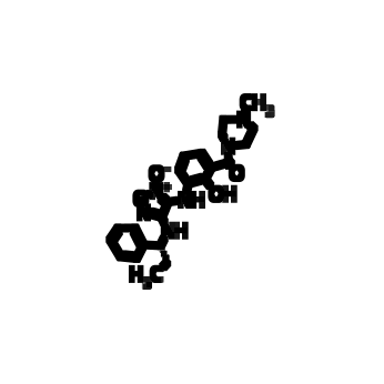 CC[C@@H](Nc1no[n+]([O-])c1Nc1cccc(C(=O)N2CCN(C)CC2)c1O)c1ccccc1